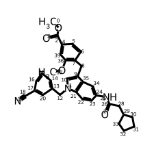 COC(=O)c1ccc(Cc2cn(Cc3cccc(C#N)c3)c3ccc(NC(=O)CC4CCCC4)cc23)c(OC)c1